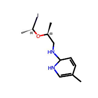 CC1=CNC(NC[C@H](C)O[C@H](C)I)C=C1